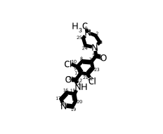 CN1CCN(C(=O)c2cc(Cl)c(C(=O)Nc3ccncc3)c(Cl)c2)CC1